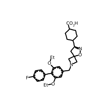 CCOc1cc(CN2CC3(CC(C4CCC(C(=O)O)CC4)=NO3)C2)cc(OCC)c1-c1ccc(F)cc1